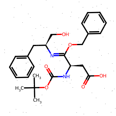 CC(C)(C)OC(=O)N[C@H](CC(=O)O)C(=N[C@H](CO)Cc1ccccc1)OCc1ccccc1